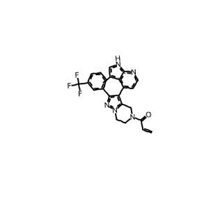 C=CC(=O)N1CCn2nc(-c3cccc(C(F)(F)F)c3)c(-c3ccnc4[nH]cc(C)c34)c2C1